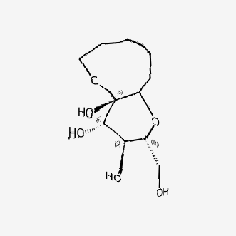 OC[C@H]1O[C]2CCCCCC[C@@]2(O)[C@@H](O)[C@@H]1O